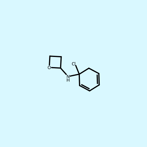 ClC1(NC2CCO2)C=CC=CC1